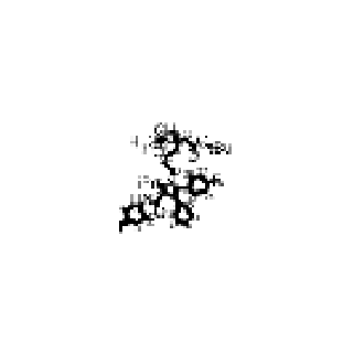 CC(C)c1c(C(=O)Nc2ccc(F)cc2F)c(-c2ccccc2)c(-c2ccc(F)cc2)n1CC[C@@H]1C[C@H](CC(=O)OC(C)(C)C)OC(C)(C)O1